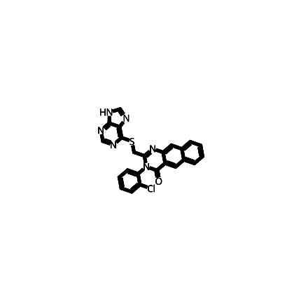 O=c1c2cc3ccccc3cc2nc(CSc2ncnc3[nH]cnc23)n1-c1ccccc1Cl